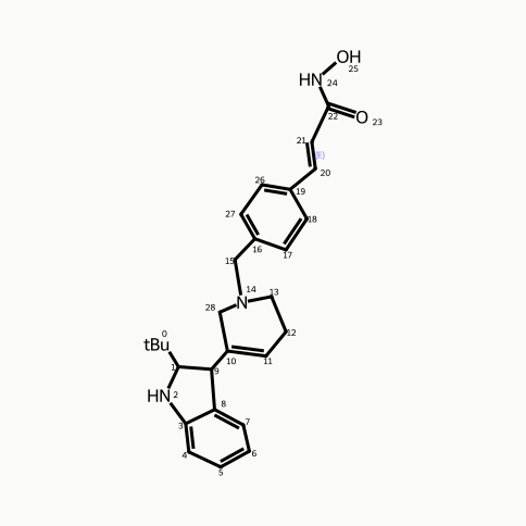 CC(C)(C)C1Nc2ccccc2C1C1=CCCN(Cc2ccc(/C=C/C(=O)NO)cc2)C1